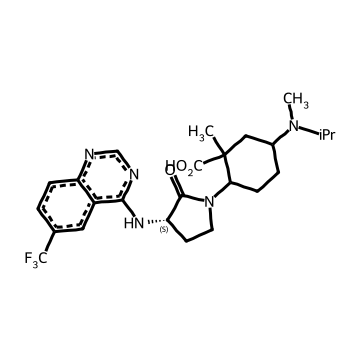 CC(C)N(C)C1CCC(N2CC[C@H](Nc3ncnc4ccc(C(F)(F)F)cc34)C2=O)C(C)(C(=O)O)C1